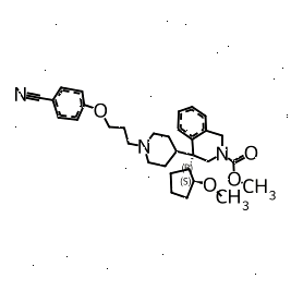 COC(=O)N1Cc2ccccc2C(C2CCN(CCCOc3ccc(C#N)cc3)CC2)([C@H]2CCC[C@@H]2OC)C1